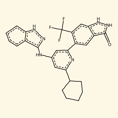 O=c1[nH][nH]c2cc(C(F)(F)F)c(-c3cc(Nc4n[nH]c5ccccc45)cc(C4CCCCC4)n3)cc12